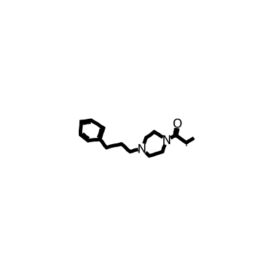 C[CH]C(=O)N1CCN(CCCc2ccccc2)CC1